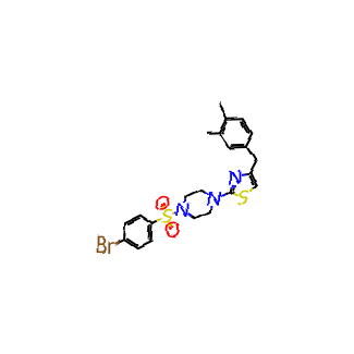 Cc1ccc(Cc2csc(N3CCN(S(=O)(=O)c4ccc(Br)cc4)CC3)n2)cc1C